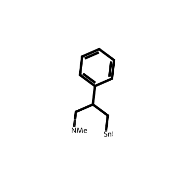 CNCC([CH2][Sn])c1ccccc1